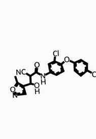 Cc1oncc1C(O)C(C#N)C(=O)Nc1ccc(Oc2ccc(Cl)cc2)c(Cl)c1